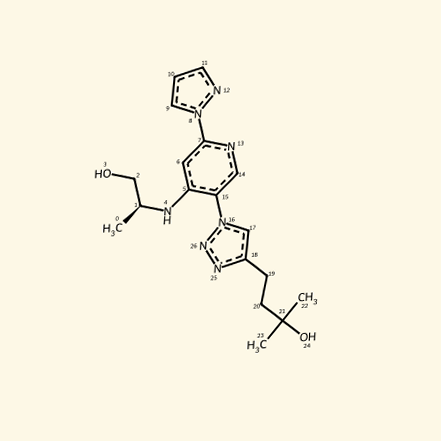 C[C@@H](CO)Nc1cc(-n2cccn2)ncc1-n1cc(CCC(C)(C)O)nn1